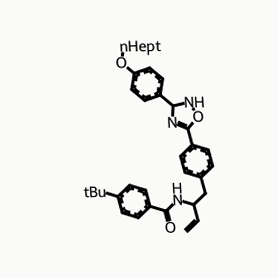 C=CC(Cc1ccc(C2=NC(c3ccc(OCCCCCCC)cc3)NO2)cc1)NC(=O)c1ccc(C(C)(C)C)cc1